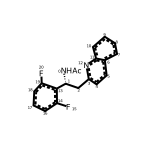 CC(=O)N[C@H](Cc1ccc2ccccc2n1)c1c(F)cccc1F